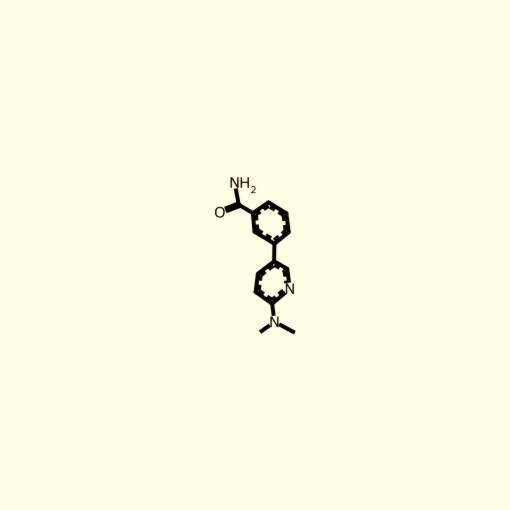 CN(C)c1ccc(-c2cccc(C(N)=O)c2)cn1